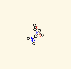 c1ccc(-c2nc(-c3ccccc3)nc(-c3ccc(-c4nc5c(-c6cccc7c6oc6ccccc67)cccc5c5c4oc4ccccc45)cc3)n2)cc1